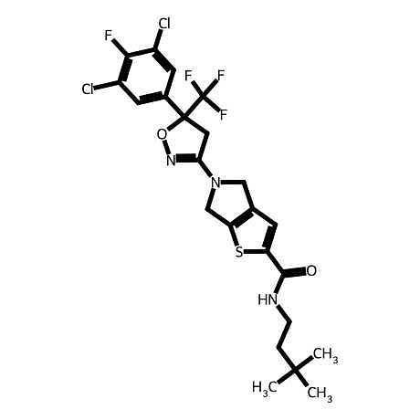 CC(C)(C)CCNC(=O)c1cc2c(s1)CN(C1=NOC(c3cc(Cl)c(F)c(Cl)c3)(C(F)(F)F)C1)C2